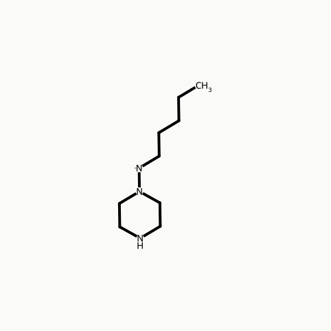 CCCCC[N]N1CCNCC1